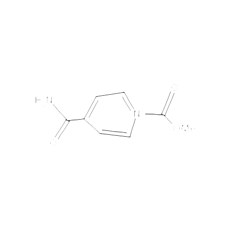 COC(=O)[n+]1ccc(C(N)=O)cc1